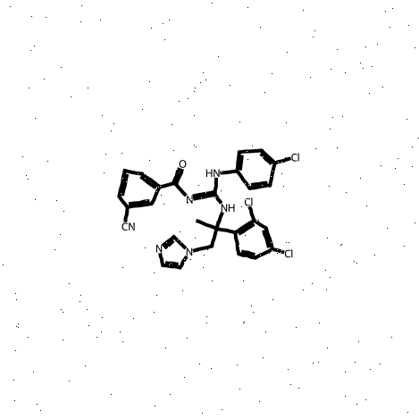 CC(Cn1ccnc1)(N/C(=N/C(=O)c1cccc(C#N)c1)Nc1ccc(Cl)cc1)c1ccc(Cl)cc1Cl